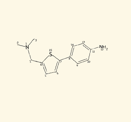 CN(C)Cc1ccc(-c2ccc(N)cc2)s1